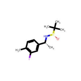 Cc1ccc([C@@H](C)N[S@@+]([O-])C(C)(C)C)cc1I